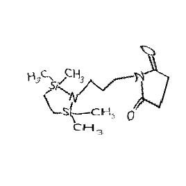 C[Si]1(C)CC[Si](C)(C)N1CCCN1C(=O)CCC1=O